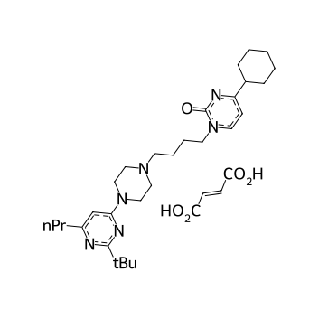 CCCc1cc(N2CCN(CCCCn3ccc(C4CCCCC4)nc3=O)CC2)nc(C(C)(C)C)n1.O=C(O)C=CC(=O)O